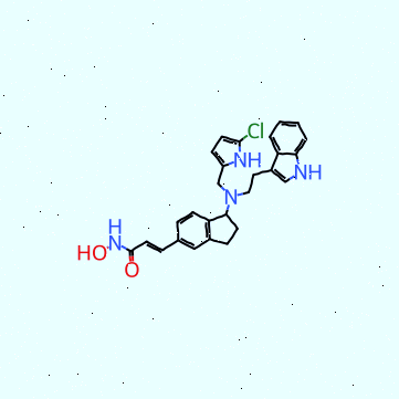 O=C(/C=C/c1ccc2c(c1)CCC2N(CCc1c[nH]c2ccccc12)Cc1ccc(Cl)[nH]1)NO